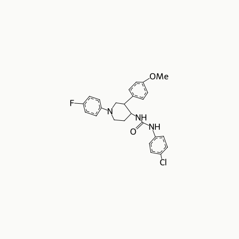 COc1ccc(C2CN(c3ccc(F)cc3)CCC2NC(=O)Nc2ccc(Cl)cc2)cc1